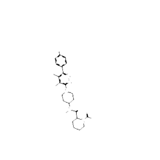 Cc1c(-c2ccc(F)cc2)nnc(N2CCC(N(C)C(=O)C3CCCCN3C(=O)O)CC2)c1C